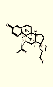 CS[C@@]1(SCCF)CC[C@H]2[C@@H]3CCC4=CC(=O)C=C[C@]4(C)[C@@]3(F)[C@@H](OC(C)=O)C[C@@]21C